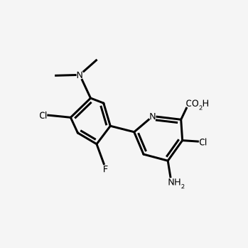 CN(C)c1cc(-c2cc(N)c(Cl)c(C(=O)O)n2)c(F)cc1Cl